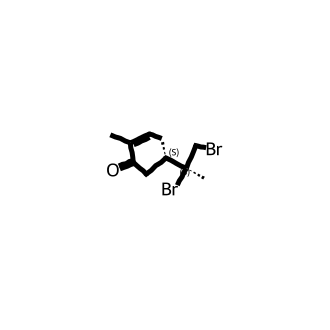 CC1=CC[C@H]([C@](C)(Br)CBr)CC1=O